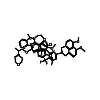 COc1ccc(CN(Cc2ccc(OC)cc2)c2cc(C)c(C(F)(F)F)c(-c3c(Cl)c4c5c(nc(OCC(C)N6CCOCC6)nc5c3F)N([C@H](C)c3cccnc3N(Cc3ccc(OC)cc3)Cc3ccc(OC)cc3)CCO4)n2)cc1